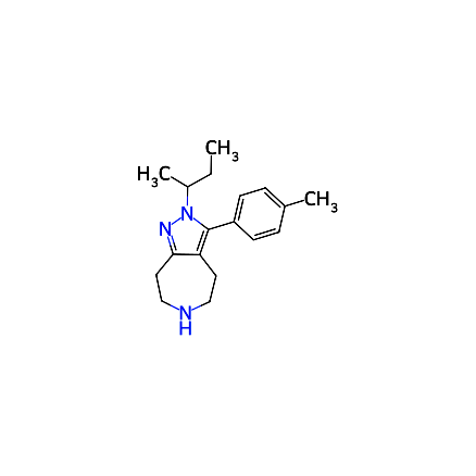 CCC(C)n1nc2c(c1-c1ccc(C)cc1)CCNCC2